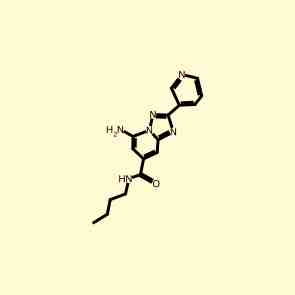 CCCCNC(=O)c1cc(N)n2nc(-c3cccnc3)nc2c1